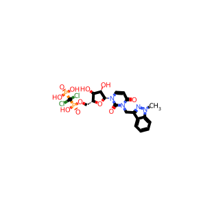 Cn1nc(Cn2c(=O)ccn([C@@H]3O[C@H](COP(=O)(O)C(Cl)(Cl)P(=O)(O)O)C(O)[C@@H]3O)c2=O)c2ccccc21